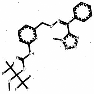 COC(OC(=O)Nc1cccc(CO/N=C(/c2ccccc2)c2nnnn2C)n1)(C(F)(F)F)C(F)(F)F